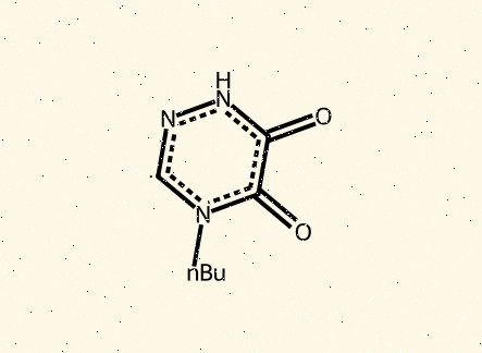 CCCCn1[c]n[nH]c(=O)c1=O